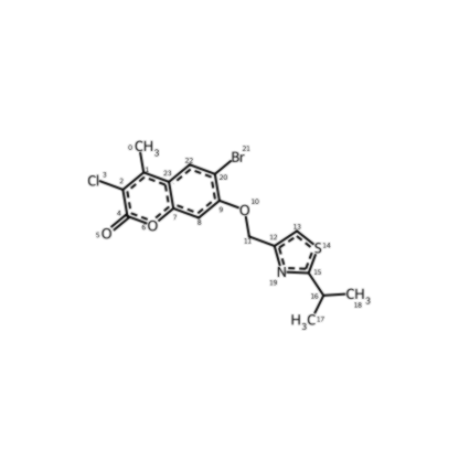 Cc1c(Cl)c(=O)oc2cc(OCc3csc(C(C)C)n3)c(Br)cc12